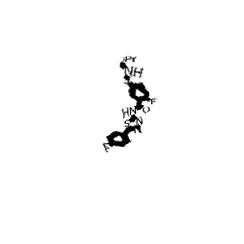 CC(C)CNSc1ccc(F)c(C(=O)Nc2nnc(-c3ccc(F)cc3)s2)c1